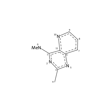 CNc1nc(C)nc2cccnc12